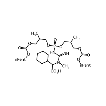 CCCCCOC(=O)OCC(C)COP(=O)(NC(=N)N(C)C(C(=O)O)C1CCCCC1)OCC(C)COC(=O)OCCCCC